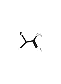 C=C(C)C(F)F